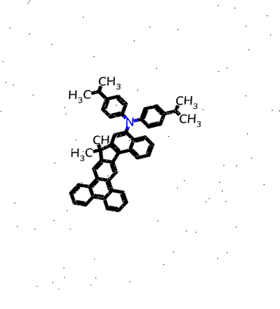 CC(C)c1ccc(N(c2ccc(C(C)C)cc2)c2cc3c(c4ccccc24)-c2cc4c5ccccc5c5ccccc5c4cc2C3(C)C)cc1